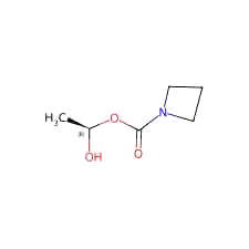 C[C@H](O)OC(=O)N1CCC1